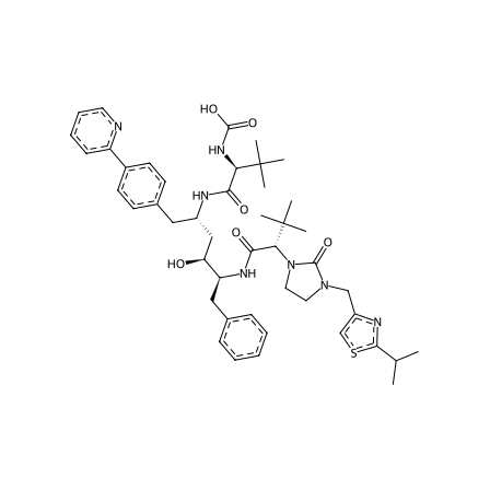 CC(C)c1nc(CN2CCN([C@H](C(=O)N[C@@H](Cc3ccccc3)[C@@H](O)C[C@H](Cc3ccc(-c4ccccn4)cc3)NC(=O)[C@@H](NC(=O)O)C(C)(C)C)C(C)(C)C)C2=O)cs1